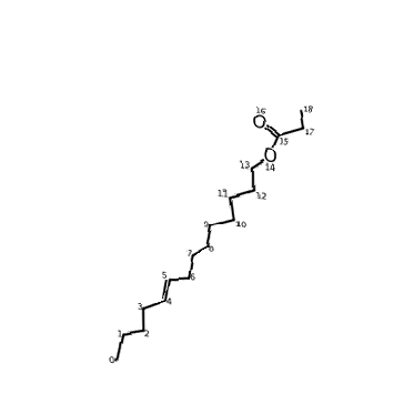 CCCCC=CCCCCCCCCOC(=O)CC